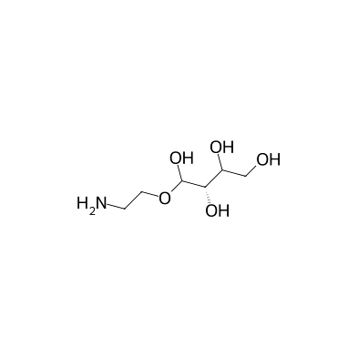 NCCOC(O)[C@@H](O)C(O)CO